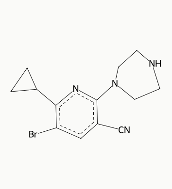 N#Cc1cc(Br)c(C2CC2)nc1N1CCNCC1